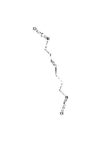 O=C=NCCC=CCCCN=C=O